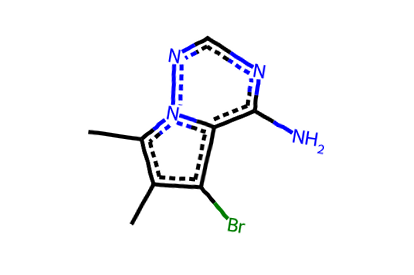 Cc1c(Br)c2c(N)ncnn2c1C